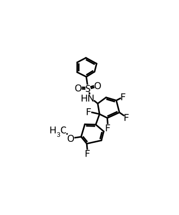 COc1cc(C2(F)C(F)=C(F)C(F)=CC2NS(=O)(=O)c2ccccc2)ccc1F